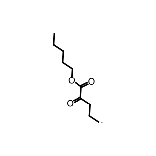 [CH2]CCC(=O)C(=O)OCCCCC